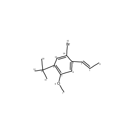 CC=Cc1cc(OC)c(C(C)(C)C)cc1Br